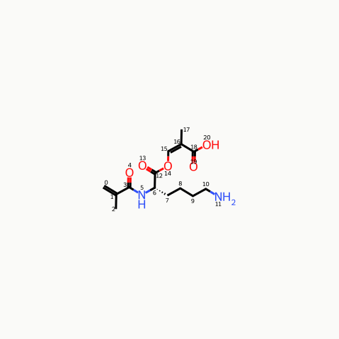 C=C(C)C(=O)N[C@@H](CCCCN)C(=O)OC=C(C)C(=O)O